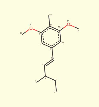 CCC(C)/C=C/c1cc(OC)c(C)c(OC)c1